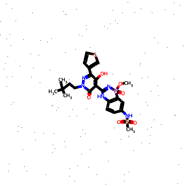 COP1(=O)N=C(c2c(O)c(-c3ccsc3)nn(CCC(C)(C)C)c2=O)Nc2ccc(NS(C)(=O)=O)cc21